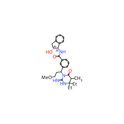 CCC1(CC)NC(=N)N(C(CCOC)c2cccc(C(=O)N[C@@H]3c4ccccc4C[C@H]3O)c2)C(=O)C1C